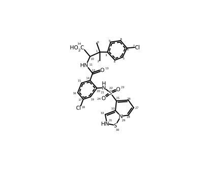 CC(C)(c1ccc(Cl)cc1)C(NC(=O)c1ccc(Cl)cc1NS(=O)(=O)C1=CC=CN2SNC=C12)C(=O)O